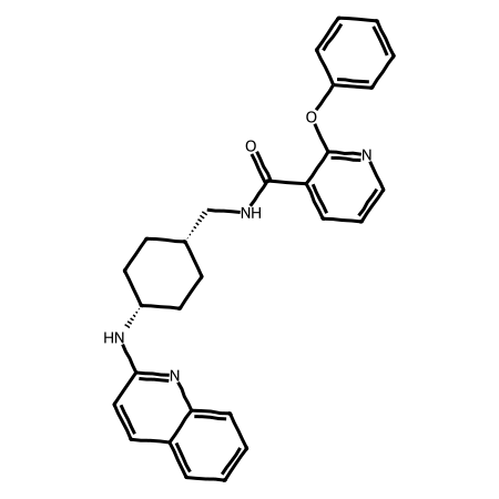 O=C(NC[C@H]1CC[C@@H](Nc2ccc3ccccc3n2)CC1)c1cccnc1Oc1ccccc1